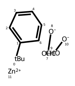 CC(C)(C)c1ccccc1.O=C[O-].O=C[O-].[Zn+2]